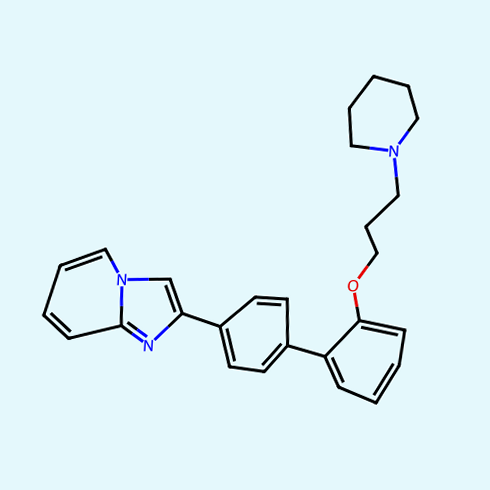 c1ccc(-c2ccc(-c3cn4ccccc4n3)cc2)c(OCCCN2CCCCC2)c1